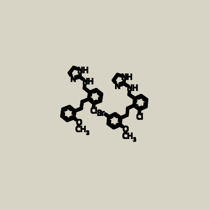 COc1ccc(Br)cc1CCc1c(Cl)cccc1CNC1=NCCN1.COc1ccccc1CCc1c(Cl)cccc1CNC1=NCCN1